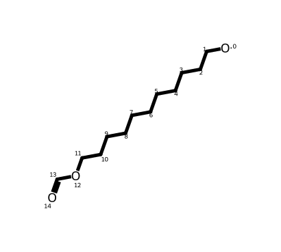 [O]CCCCCCCCCCCOC=O